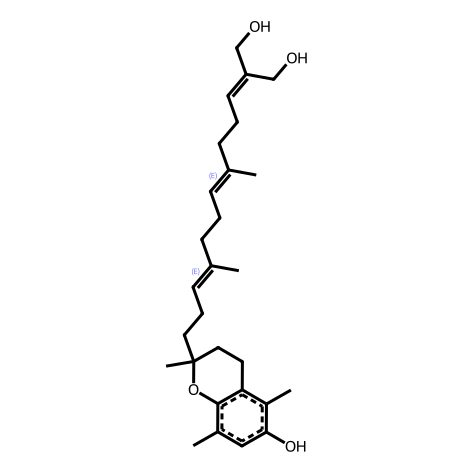 C/C(=C\CC/C(C)=C/CCC1(C)CCc2c(C)c(O)cc(C)c2O1)CCC=C(CO)CO